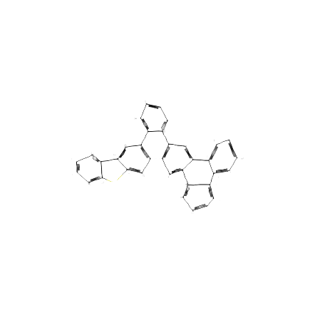 c1ccc(-c2ccc3c4ccccc4c4ccccc4c3c2)c(-c2ccc3sc4ccccc4c3c2)c1